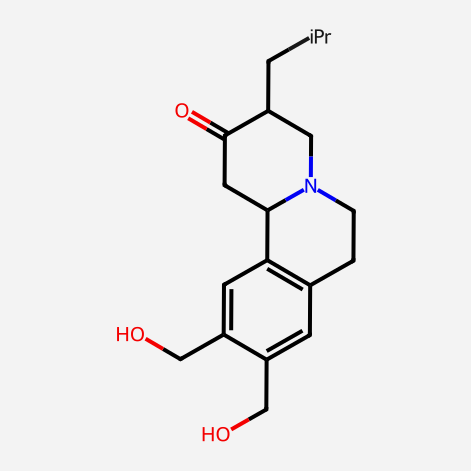 CC(C)CC1CN2CCc3cc(CO)c(CO)cc3C2CC1=O